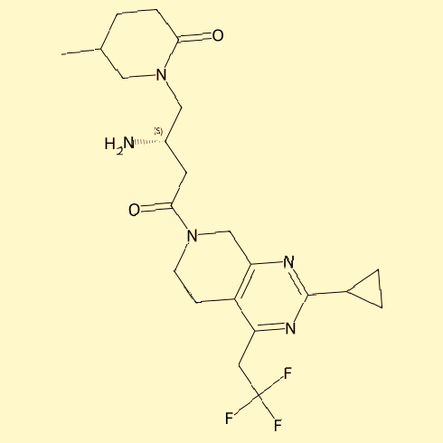 CC1CCC(=O)N(C[C@@H](N)CC(=O)N2CCc3c(nc(C4CC4)nc3CC(F)(F)F)C2)C1